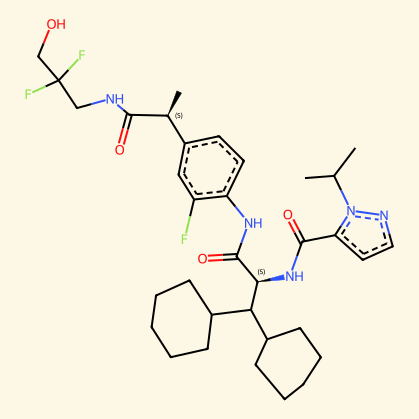 CC(C)n1nccc1C(=O)N[C@H](C(=O)Nc1ccc([C@H](C)C(=O)NCC(F)(F)CO)cc1F)C(C1CCCCC1)C1CCCCC1